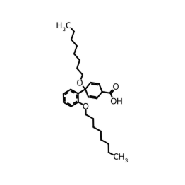 CCCCCCCCOc1ccccc1C1(OCCCCCCCC)C=CC(C(=O)O)C=C1